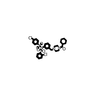 O=C(C1CCCCC1)N1CCN(Cc2cccc(N(S(=O)(=O)c3ccc(Cl)cc3)S(=O)(=O)c3ccccc3Cl)c2)CC1